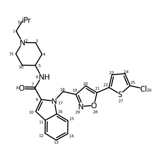 CC(C)CN1CCC(NC(=O)c2cc3ccccc3n2Cc2cc(-c3ccc(Cl)s3)on2)CC1